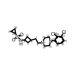 O=S(=O)(NC1CC(CCN2CCN(c3cccc(Cl)c3Cl)CC2)C1)C1CC1